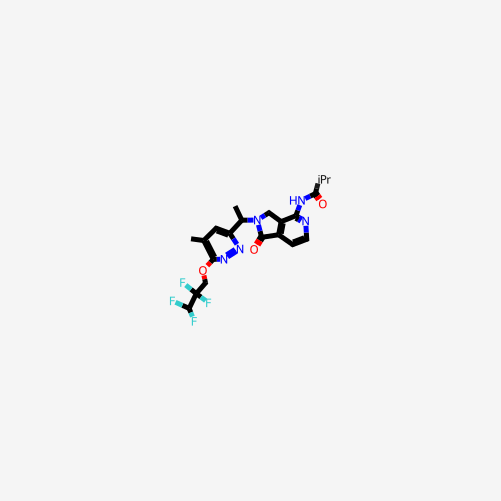 Cc1cc(C(C)N2Cc3c(ccnc3NC(=O)C(C)C)C2=O)nnc1OCC(F)(F)C(F)F